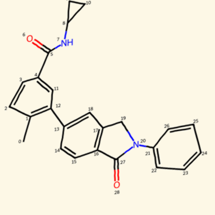 Cc1ccc(C(=O)NC2CC2)cc1-c1ccc2c(c1)CN(c1ccccc1)C2=O